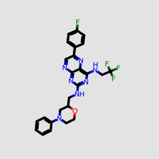 Fc1ccc(-c2cnc3nc(NCC4CN(c5ccccc5)CCO4)nc(NCC(F)(F)F)c3n2)cc1